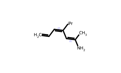 C=C/C=C(\C=C(/C)N)C(C)C